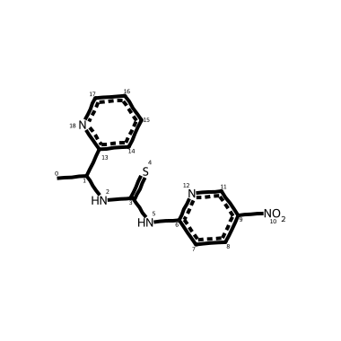 CC(NC(=S)Nc1ccc([N+](=O)[O-])cn1)c1ccccn1